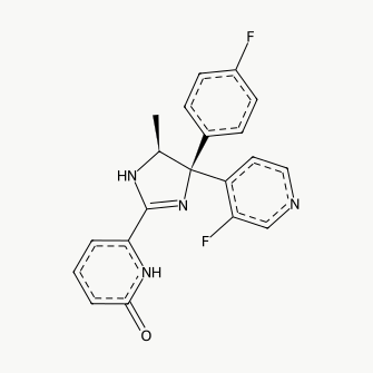 C[C@@H]1NC(c2cccc(=O)[nH]2)=N[C@@]1(c1ccc(F)cc1)c1ccncc1F